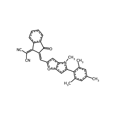 Cc1cc(C)c(-c2cc3oc(/C=C4\C(=O)c5ccccc5C4=C(C#N)C#N)cc3n2C)c(C)c1